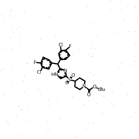 CC(C)(C)OC(=O)N1CCC(S(=O)(=O)c2c[nH]c(C(c3ccc(F)c(Cl)c3)c3ccc(F)c(Cl)c3)n2)CC1